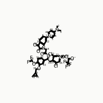 CN(C)c1cc[n+](-c2ccc3c(c2)N(CC(=O)O[C@@H](Cc2c(Cl)c[n+]([O-])cc2Cl)c2ccc(OC(F)F)c(OCC4CC4)c2)C(=O)C3=O)cc1.O=C([O-])C(F)(F)F